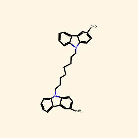 O=Cc1ccc2c(c1)c1ccccc1n2CCCCCCCCn1c2ccccc2c2cc(C=O)ccc21